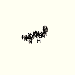 CC(c1ccc(Nc2nccc(-c3cnc(N4CC[C@H](F)C4)c(C#N)c3)n2)cn1)N1CCOCC1